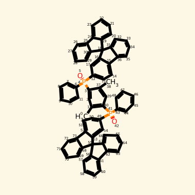 Cc1cc(P(=O)(c2ccccc2)c2ccc3c(c2)C2(c4ccccc4-c4ccccc42)c2ccccc2-3)c(C)cc1P(=O)(c1ccccc1)c1ccc2c(c1)C1(c3ccccc3-c3ccccc31)c1ccccc1-2